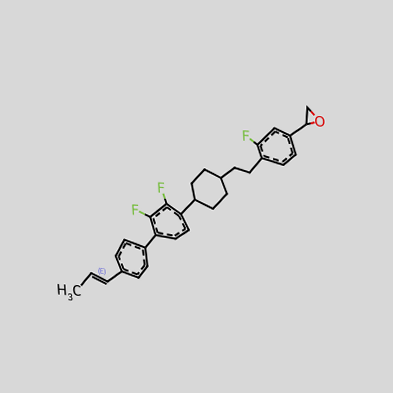 C/C=C/c1ccc(-c2ccc(C3CCC(CCc4ccc(C5CO5)cc4F)CC3)c(F)c2F)cc1